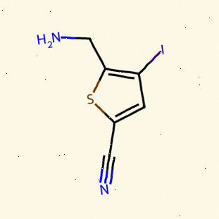 N#Cc1cc(I)c(CN)s1